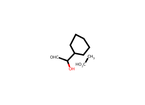 CC(=O)O.O=CC(O)C1CCCCC1